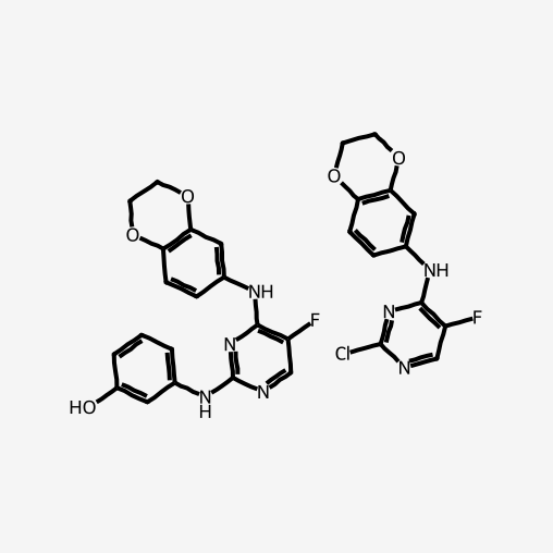 Fc1cnc(Cl)nc1Nc1ccc2c(c1)OCCO2.Oc1cccc(Nc2ncc(F)c(Nc3ccc4c(c3)OCCO4)n2)c1